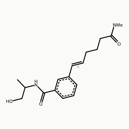 CNC(=O)CCC/C=C/c1cccc(C(=O)NC(C)CO)c1